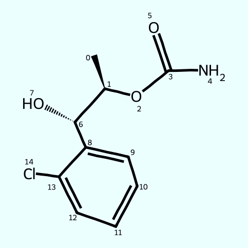 C[C@@H](OC(N)=O)[C@@H](O)c1ccccc1Cl